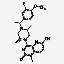 CC1CN(c2nc(=O)n(C)c3ccc(C#N)nc23)[C@@H](C)CN1C(C)c1ccc(OC(F)(F)F)c(F)c1